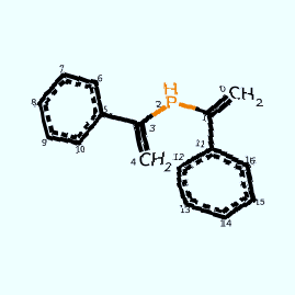 C=C(PC(=C)c1ccccc1)c1ccccc1